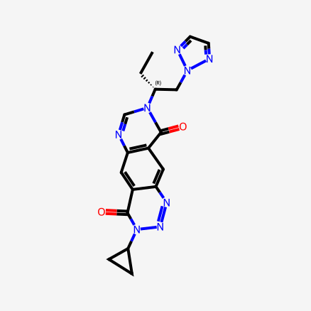 CC[C@H](Cn1nccn1)n1cnc2cc3c(=O)n(C4CC4)nnc3cc2c1=O